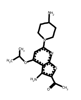 CC(=O)c1sc2nc(N3CCC(N)CC3)cc(OC(C)C)c2c1N